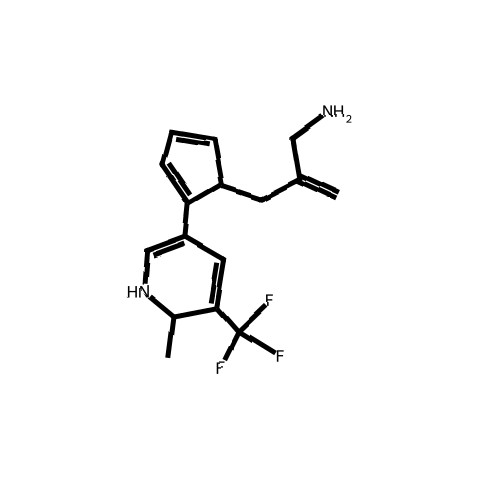 C=C(CN)CC1C=CC=C1C1=CNC(C)C(C(F)(F)F)=C1